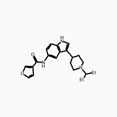 CCC(CC)N1CCC(c2c[nH]c3ccc(NC(=O)c4ccoc4)cc23)CC1